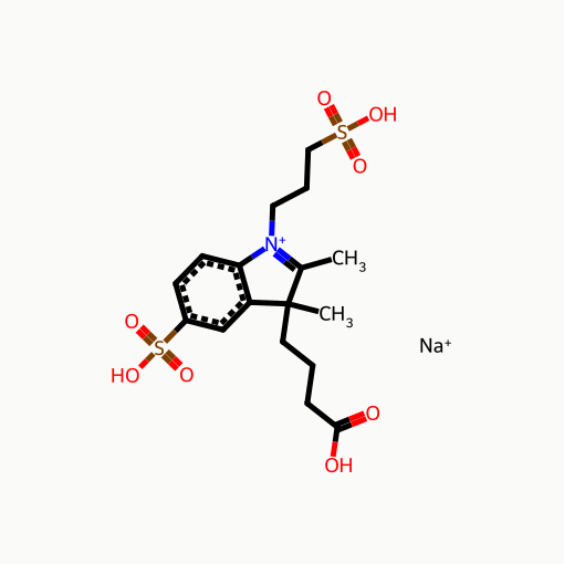 CC1=[N+](CCCS(=O)(=O)O)c2ccc(S(=O)(=O)O)cc2C1(C)CCCC(=O)O.[Na+]